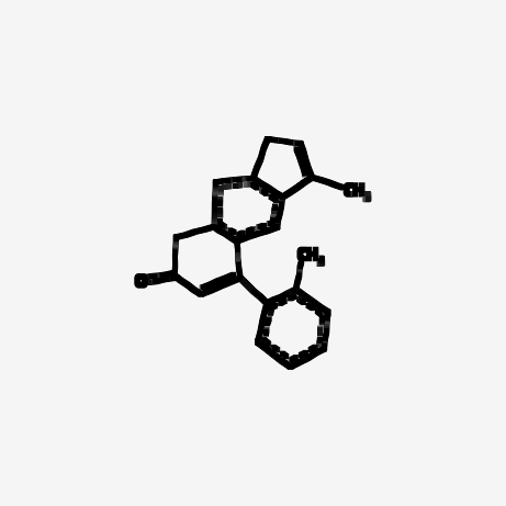 CC1=CCc2cc3c(cc21)C(c1ccccc1C)=CC(=O)C3